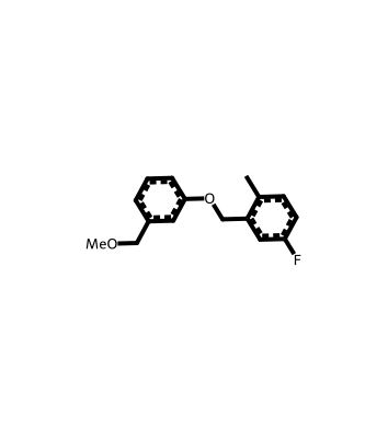 COCc1cccc(OCc2cc(F)ccc2C)c1